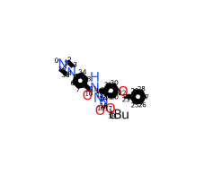 CN1CCN(c2ccc(C(=O)Nc3nn(C(=O)OC(C)(C)C)c4cc(OCc5ccccc5)ccc34)cc2)CC1